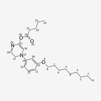 CCCCCCCCCOc1cccc(N2C=C(OC(=O)CCCC)N=CC2)c1